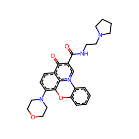 O=C(NCCN1CCCC1)c1cn2c3c(c(N4CCOCC4)ccc3c1=O)Oc1ccccc1-2